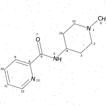 CN1CCC(NC(=O)c2ccccn2)CC1